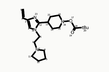 C=Cc1cn(CCN2CCCC2)c(C2CCN(OC(=O)C(C)(C)C)CC2)n1